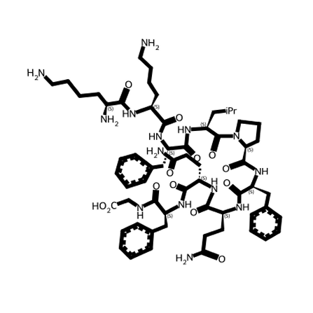 CC(C)C[C@H](NC(=O)[C@H](Cc1ccccc1)NC(=O)[C@H](CCCCN)NC(=O)[C@@H](N)CCCCN)C(=O)N1CCC[C@H]1C(=O)N[C@@H](Cc1ccccc1)C(=O)N[C@@H](CCC(N)=O)C(=O)N[C@@H](CCC(N)=O)C(=O)N[C@@H](Cc1ccccc1)C(=O)NCC(=O)O